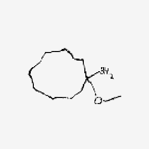 BC1(OC)CCCCCCC1